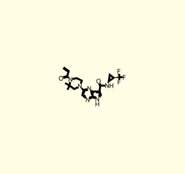 C=CC(=O)N1CCN(c2cnc3[nH]cc(C(=O)N[C@@H]4C[C@H]4C(F)(F)F)c3n2)CC1(C)C